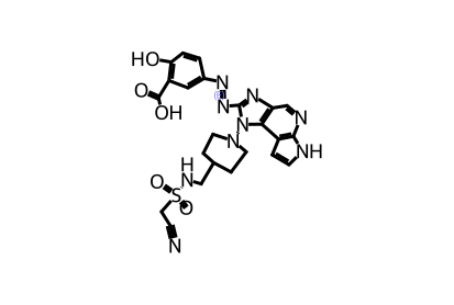 N#CCS(=O)(=O)NCC1CCN(n2c(/N=N/c3ccc(O)c(C(=O)O)c3)nc3cnc4[nH]ccc4c32)CC1